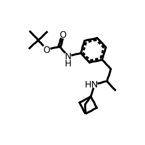 CC(Cc1cccc(NC(=O)OC(C)(C)C)c1)NC12CC(C1)C2